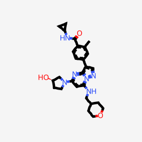 Cc1cc(-c2cnn3c(NCC4CCOCC4)cc(N4CC[C@H](O)C4)nc23)ccc1C(=O)NC1CC1